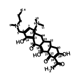 CN(CCF)Cc1cc(N(C)C)c2c(c1O)C(=O)C1=C(O)C3C(=O)C(C(N)=O)=C(O)CC3CC1C2